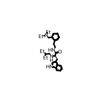 CCC(CC)CN[C@H](Cc1c[nH]c2ccccc12)C(=O)NCCc1ccccc1CN(CC)CC